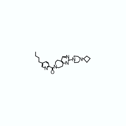 CCCCc1ccc(C(=O)N2CCc3cnc(N4CCN(C5CCC5)CC4)nc3CC2)nc1